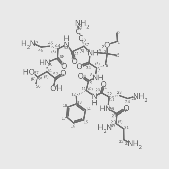 CCOC(C)(C)C[C@H](NC(=O)[C@@H](Cc1ccccc1)NC(=O)[C@H](CCN)NC(=O)[C@@H](N)CCN)C(=O)N[C@@H](CCN)C(=O)N[C@@H](CCN)C(=O)N[C@H](C(=O)O)[C@@H](C)O